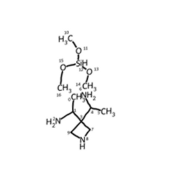 CC(N)C1(C(C)N)CNC1.CO[SiH](OC)OC